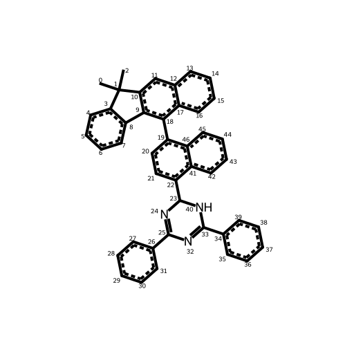 CC1(C)c2ccccc2-c2c1cc1ccccc1c2-c1ccc(C2N=C(c3ccccc3)N=C(c3ccccc3)N2)c2ccccc12